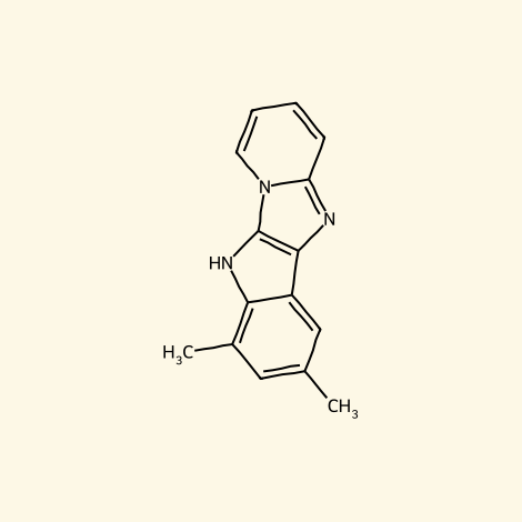 Cc1cc(C)c2[nH]c3c(nc4ccccn43)c2c1